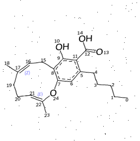 CCCCCc1cc2c(c(O)c1C(=O)O)C/C=C(/C)CC/C=C(\C)O2